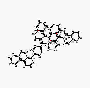 CC1C=C(c2cccc3cccc(-c4ccccc4)c23)C(N(c2ccc(-c3cccc4c3ccc3ccccc34)cc2)c2cccc(-c3cccc4c3ccc3ccccc34)c2)=CC1